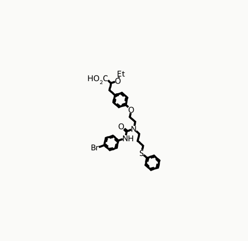 CCOC(Cc1ccc(OCCN(CCCSc2ccccc2)C(=O)Nc2ccc(Br)cc2)cc1)C(=O)O